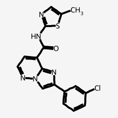 Cc1cnc(NC(=O)c2ccnn3cc(-c4cccc(Cl)c4)nc23)s1